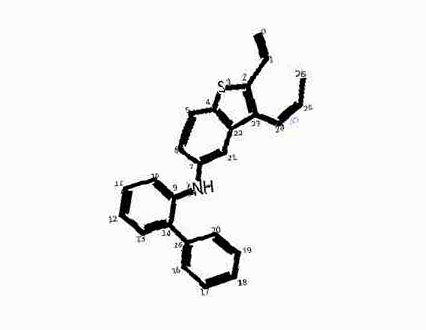 C=Cc1sc2ccc(Nc3ccccc3-c3ccccc3)cc2c1/C=C\C